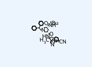 CC(C)(C)NC(=O)[C@@H]1C[C@H](C(=O)NC(C)(Cc2ccc(C#N)cc2)c2cnc[nH]2)CN(CC(c2ccccc2)c2ccccc2)C1